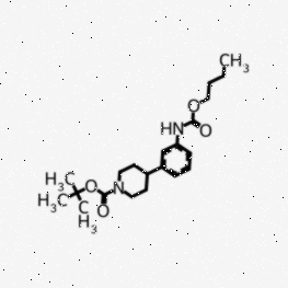 CCCCOC(=O)Nc1cccc(C2CCN(C(=O)OC(C)(C)C)CC2)c1